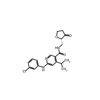 CC(C)c1cc(Nc2cccc(Cl)c2)ncc1C(=O)NC[C@@H]1OCCC1=O